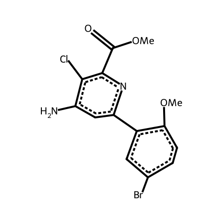 COC(=O)c1nc(-c2cc(Br)ccc2OC)cc(N)c1Cl